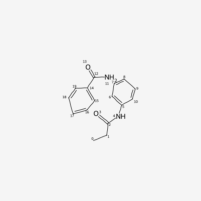 CCC(=O)Nc1ccccc1.NC(=O)c1ccccc1